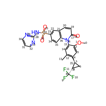 COc1cc([C@H]2C[C@@H]2C(F)(F)F)c(C)cc1-n1c(=O)ccc2cc(S(=O)(=O)Nc3ncccn3)ccc21